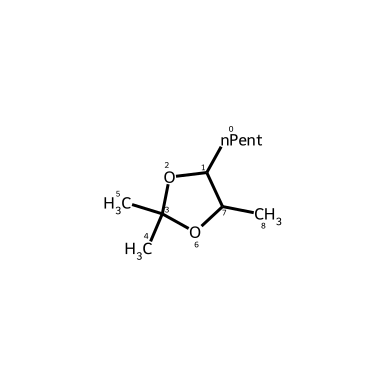 CCCCCC1OC(C)(C)OC1C